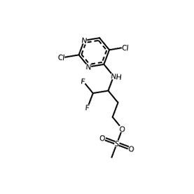 CS(=O)(=O)OCCC(Nc1nc(Cl)ncc1Cl)C(F)F